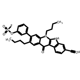 C#Cc1ccc2c(c1)[nH]c1c2c(=O)c2cc(CCCC)c(-c3cccc(OS(=O)(=O)F)c3)cc2n1CCCC